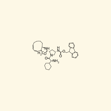 C=C1/C=C\C=C/CCCC[C@H]1NC(=O)[C@@H]1C[C@H](NC(=O)OCC2c3ccccc3-c3ccccc32)CN1C(=O)[C@@H](N)C1CCCCC1